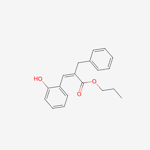 CCCOC(=O)C(=Cc1ccccc1O)Cc1ccccc1